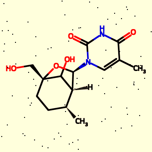 Cc1cn([C@@H]2O[C@@]3(CO)CC[C@@H](C)[C@H]2C3O)c(=O)[nH]c1=O